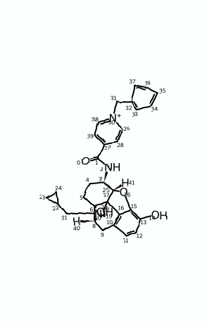 O=C(N[C@@H]1CC[C@@]2(O)[C@H]3Cc4ccc(O)c5c4C2(CCN3CC2CC2)[C@H]1O5)c1cc[n+](Cc2ccccc2)cc1